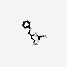 CNCCC(CSc1ccccc1)OC(N)=O